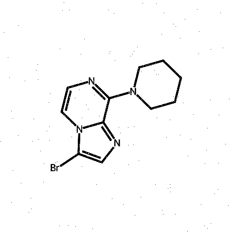 Brc1cnc2c(N3CCCCC3)nccn12